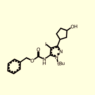 CC(C)(C)n1nc(C2CCC(O)C2)c(I)c1NC(=O)OCc1ccccc1